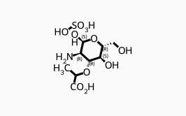 CC(O[C@@H]1[C@@H](N)[C@@H](O)O[C@H](CO)[C@H]1O)C(=O)O.O=S(=O)(O)O